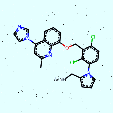 CC(=O)NCc1cccn1-c1ccc(Cl)c(COc2cccc3c(-n4ccnc4)cc(C)nc23)c1Cl